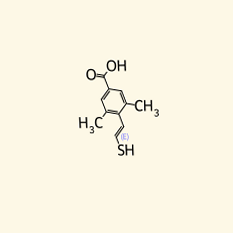 Cc1cc(C(=O)O)cc(C)c1/C=C/S